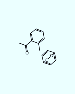 CC(=O)c1ccccc1C.c1cc2ccc1CO2